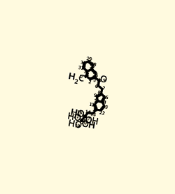 C=C1C=C(C(=O)CCC2=CC3C=C(CCC(O)(O)C(O)(O)O)C=CC3=C2)C=C2C=CC=CC12